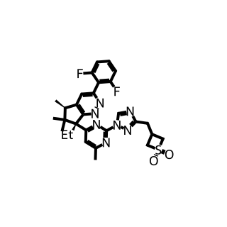 CC[C@]1(c2cc(C)nc(-n3cnc(CC4CS(=O)(=O)C4)n3)n2)c2nnc(-c3c(F)cccc3F)cc2[C@H](C)C1(C)C